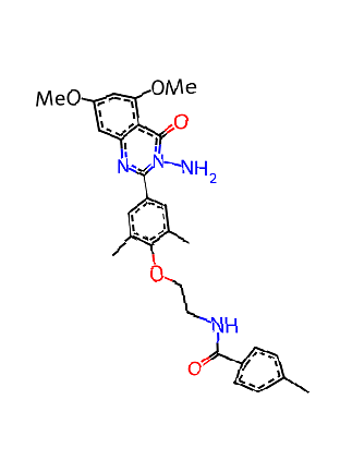 COc1cc(OC)c2c(=O)n(N)c(-c3cc(C)c(OCCNC(=O)c4ccc(C)cc4)c(C)c3)nc2c1